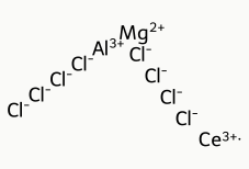 [Al+3].[Ce+3].[Cl-].[Cl-].[Cl-].[Cl-].[Cl-].[Cl-].[Cl-].[Cl-].[Mg+2]